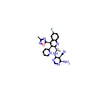 Cc1noc(-c2c(-c3ccccn3)c([C@@H](C)Nc3ncnc(N)c3C#N)nc3ccc(F)cc23)n1